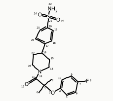 CC(C)(Oc1ccc(F)cc1)C(=O)N1CCC(c2ccc(S(N)(=O)=O)cc2)CC1